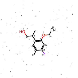 Cc1cc(C(C)CO)c(OCC#N)cc1I